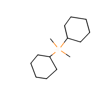 C[PH](C)(C1CCCCC1)C1CCCCC1